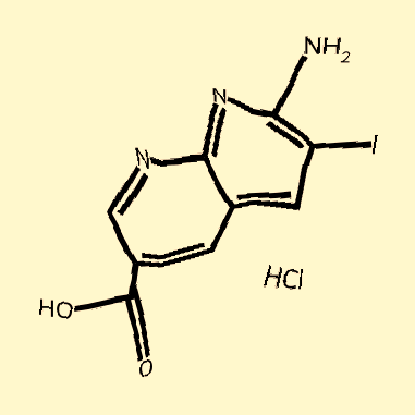 Cl.Nc1nc2ncc(C(=O)O)cc2cc1I